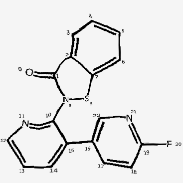 O=c1c2ccccc2sn1-c1ncccc1-c1ccc(F)nc1